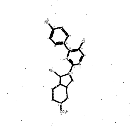 CC(C)(C)C1C2CCN(C(=O)O)CC2CN1c1ncc(Cl)c(-c2ccc(C#N)cc2)n1